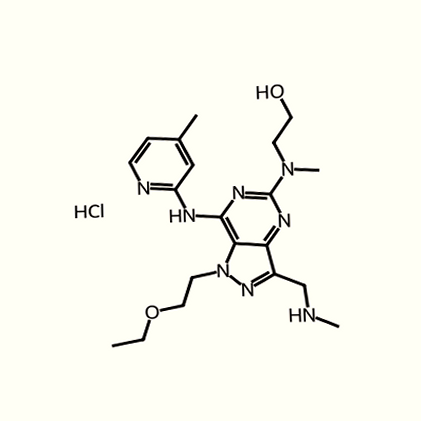 CCOCCn1nc(CNC)c2nc(N(C)CCO)nc(Nc3cc(C)ccn3)c21.Cl